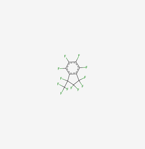 Fc1c(F)c(F)c2c(c1F)C(F)(F)C(F)(F)C2(F)C(F)(F)F